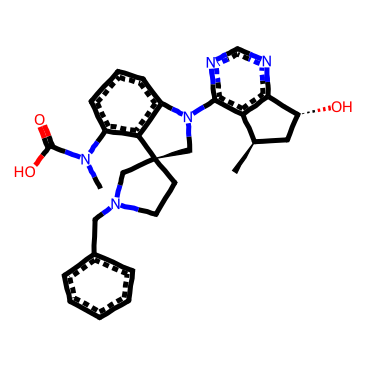 C[C@@H]1C[C@@H](O)c2ncnc(N3C[C@]4(CCN(Cc5ccccc5)C4)c4c(N(C)C(=O)O)cccc43)c21